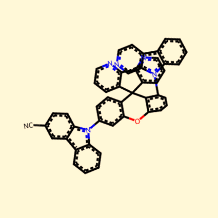 N#Cc1ccc2c(c1)c1ccccc1n2-c1ccc2c(c1)Oc1cccc(-n3c4ccccc4c4ccncc43)c1C21c2cccnc2-c2ncccc21